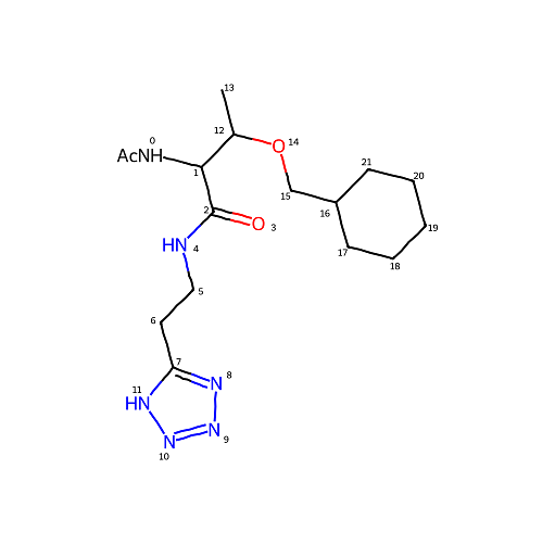 CC(=O)NC(C(=O)NCCc1nnn[nH]1)C(C)OCC1CCCCC1